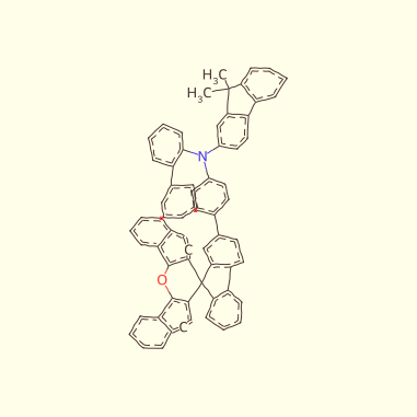 CC1(C)c2ccccc2-c2ccc(N(c3ccc(-c4ccc5c(c4)C4(c6ccccc6-5)c5ccc6ccccc6c5Oc5c4ccc4ccccc54)cc3)c3ccccc3-c3ccccc3)cc21